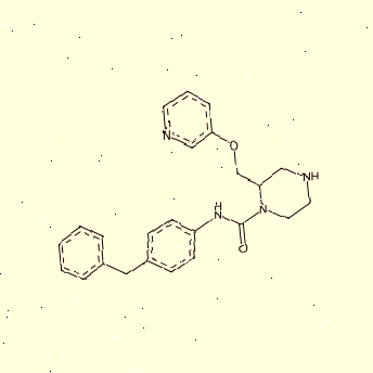 O=C(Nc1ccc(Cc2ccccc2)cc1)N1CCNCC1COc1cccnc1